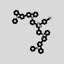 N#Cc1ccc(-c2nc(-c3cccc(-n4c5ccccc5c5ccc(-c6ccc7c(c6)c6ccccc6n7-c6ccccc6)cc54)c3)cc(-c3cccc(-n4c5ccccc5c5ccc(-c6ccc7c(c6)c6ccccc6n7-c6ccccc6)cc54)c3)n2)cc1